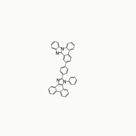 c1ccc(-n2c(-c3ccc(-c4ccc5c6ccccc6n6c7ccccc7nc6c5c4)cc3)nc3c4ccccc4c4ccccc4c32)cc1